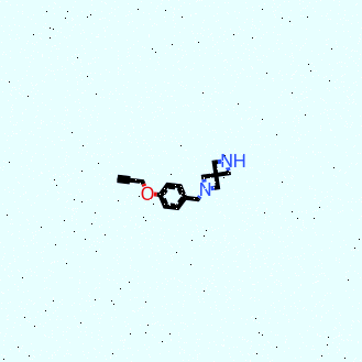 C#CCOc1ccc(CN2CC3(CNC3)C2)cc1